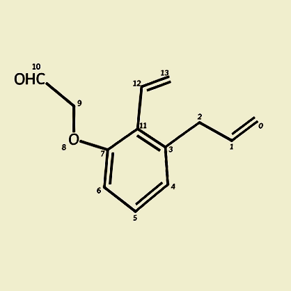 C=CCc1cccc(OCC=O)c1C=C